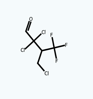 O=CC(Cl)(Cl)C(CCl)C(F)(F)F